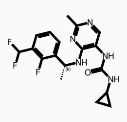 Cc1ncc(NC(=O)NC2CC2)c(N[C@H](C)c2cccc(C(F)F)c2F)n1